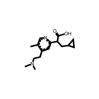 Cc1cnc(C(CC2CC2)C(=O)O)cc1CCN(C)C